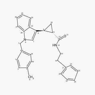 Cc1ccc(Cn2cc([C@H]3C[C@@H]3C(=O)NCCc3ccccc3)c3ccccc32)cc1